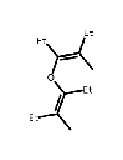 CCC(C)=C(CC)OC(CC)=C(C)CC